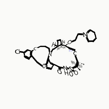 C[C@@H]1[C@@H](C)C/C=C/[C@H](OCCN2CCCCC2)[C@@H]2CC[C@H]2CN2CCCCc3cc(Cl)ccc3COc3ccc(cc32)C(=O)NS1(=O)=O